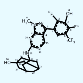 Cn1nc(-c2cc(C(F)(F)F)c(F)c(O)c2F)c2cnc(NC34CC5CC(CC(O)(C5)C3)C4)nc21